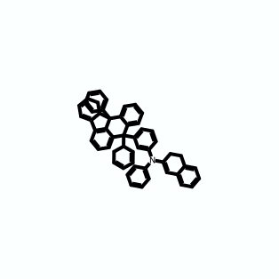 C1=CCC(C2(c3cccc(N(C4=Cc5ccccc5CC4)c4ccccc4)c3)c3ccccc3C3(c4ccccc4)c4c(cccc42)C2=CC=CCC23)C=C1